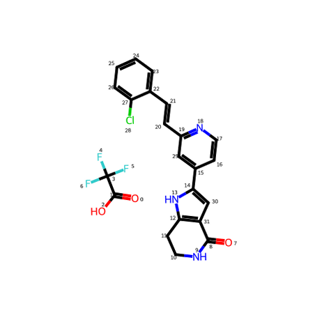 O=C(O)C(F)(F)F.O=C1NCCc2[nH]c(-c3ccnc(C=Cc4ccccc4Cl)c3)cc21